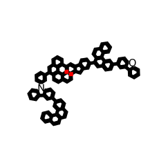 c1cc(-c2cc3cccc(-c4ccc5c(c4)-c4ccc(-c6cc7ccc(-c8ccc9oc%10ccccc%10c9c8)cc7c7c6ccc6ccccc67)cc4C5)c3c3c2ccc2ccccc23)cc(-n2c3ccccc3c3cc(-c4ccc5ccc6ccc7ccccc7c6c5c4)ccc32)c1